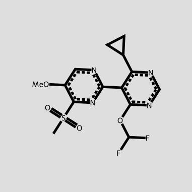 COc1cnc(-c2c(OC(F)F)ncnc2C2CC2)nc1S(C)(=O)=O